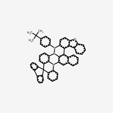 CC(C)(C)c1ccc(N2B3c4cccc5c4N(c4ccccc4C54c5ccccc5-c5ccccc54)c4cc5ccccc5c(c43)-c3c2ccc2oc4ccccc4c32)cc1